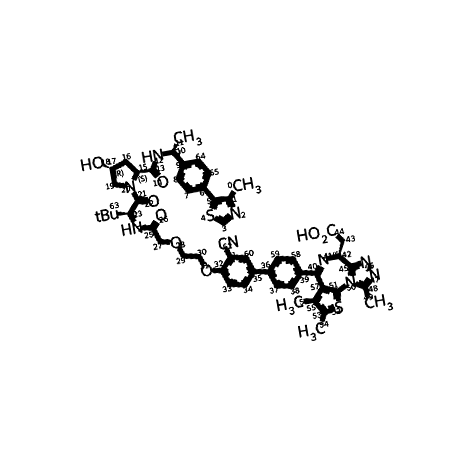 Cc1ncsc1-c1ccc([C@H](C)NC(=O)[C@@H]2C[C@@H](O)CN2C(=O)[C@@H](NC(=O)COCCOc2ccc(-c3ccc(C4=N[C@@H](CC(=O)O)c5nnc(C)n5-c5sc(C)c(C)c54)cc3)cc2C#N)C(C)(C)C)cc1